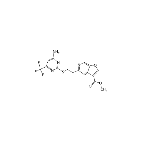 COC(=O)c1coc2cnc(CCSc3nc(N)cc(C(F)(F)F)n3)cc12